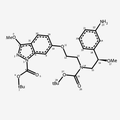 COc1nn(C(=O)OC(C)(C)C)c2cc(OCCN(C[C@H](OC)c3cccc(N)c3)C(=O)OC(C)(C)C)ccc12